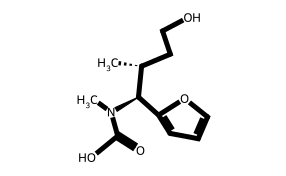 C[C@H](CCO)[C@@H](c1ccco1)N(C)C(=O)O